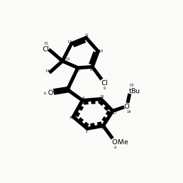 COc1ccc(C(=O)C2C(Cl)=CC=CC2(C)Cl)cc1OC(C)(C)C